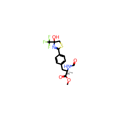 COC(=O)[C@@](C)(Cc1ccc(C2=NC(O)(C(F)(F)F)CS2)cc1)NC=O